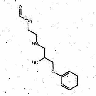 O=CNCCNCC(O)COc1ccccc1